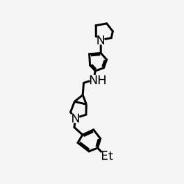 CCc1ccc(CN2CC3C(CNc4ccc(N5CCCCC5)cc4)C3C2)cc1